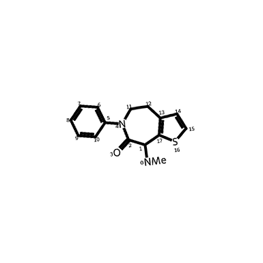 CNC1C(=O)N(c2ccccc2)CCc2ccsc21